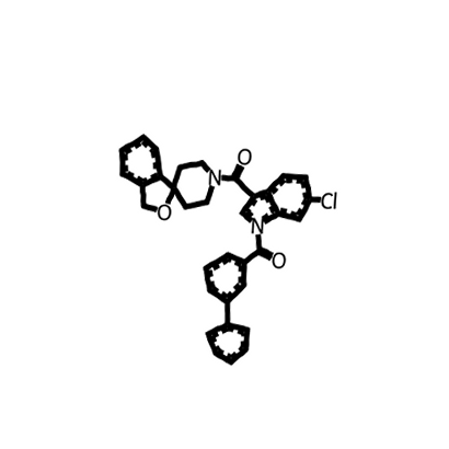 O=C(c1cn(C(=O)c2cccc(-c3ccccc3)c2)c2cc(Cl)ccc12)N1CCC2(CC1)OCc1ccccc12